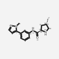 Cn1nccc1-c1cccc(NC(=O)[C@H]2C[C@H](F)CN2)c1